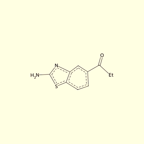 CCC(=O)c1ccc2sc(N)nc2c1